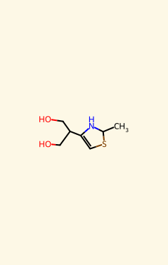 CC1NC(C(CO)CO)=CS1